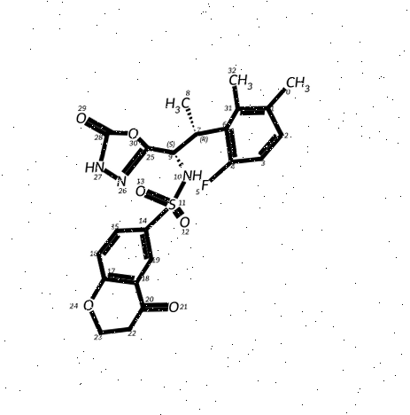 Cc1ccc(F)c([C@@H](C)[C@H](NS(=O)(=O)c2ccc3c(c2)C(=O)CCO3)c2n[nH]c(=O)o2)c1C